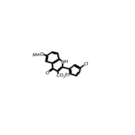 CCOC(=O)c1c(-c2cccc(Cl)c2)[nH]c2ccc(OC)cc2c1=O